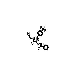 N#CCNC(=O)C(CNC(=O)c1ccccc1)SCc1ccc(C(F)(F)F)cc1